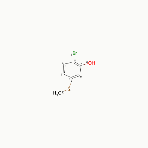 CSc1ccc(Br)c(O)c1